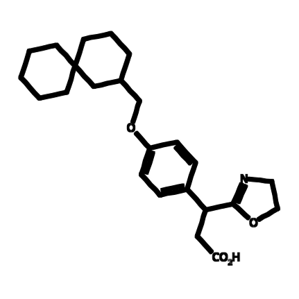 O=C(O)CC(C1=NCCO1)c1ccc(OCC2CCCC3(CCCCC3)C2)cc1